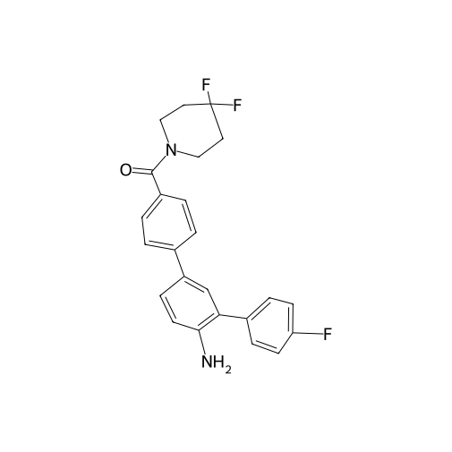 Nc1ccc(-c2ccc(C(=O)N3CCC(F)(F)CC3)cc2)cc1-c1ccc(F)cc1